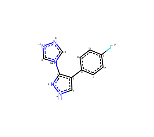 Fc1ccc(-c2c[nH]nc2-n2cnnc2)cc1